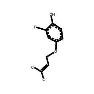 Oc1ccc(OCC=C(Cl)Cl)cc1F